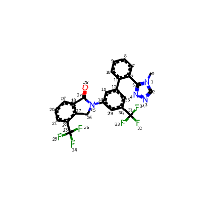 Cn1cnnc1-c1ccccc1-c1cc(N2Cc3c(cccc3C(F)(F)F)C2=O)cc(C(F)(F)F)c1